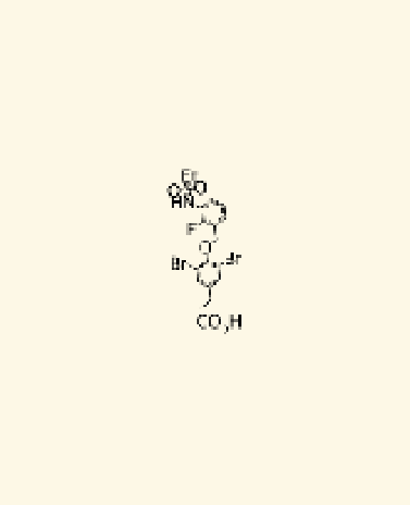 CCS(=O)(=O)Nc1cccc(COc2c(Br)cc(CCC(=O)O)cc2Br)c1F